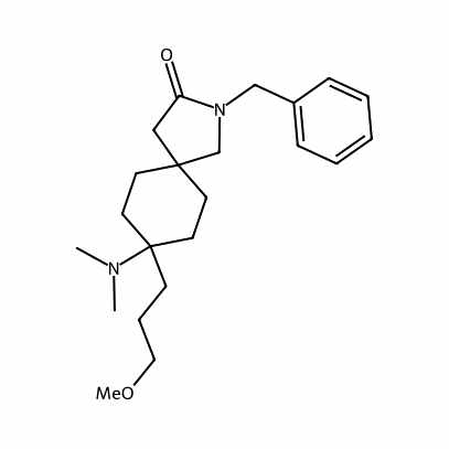 COCCCC1(N(C)C)CCC2(CC1)CC(=O)N(Cc1ccccc1)C2